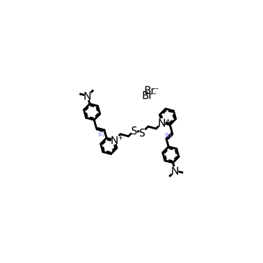 CN(C)c1ccc(/C=C/c2cccc[n+]2CCSSCC[n+]2ccccc2/C=C/c2ccc(N(C)C)cc2)cc1.[Br-].[Br-]